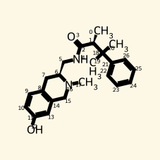 C[C@H](C(=O)NC[C@@H]1Cc2ccc(O)cc2CN1C)C(C)(C)c1ccccc1